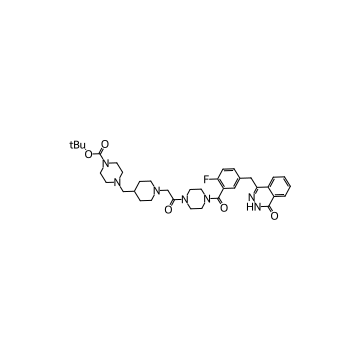 CC(C)(C)OC(=O)N1CCN(CC2CCN(CC(=O)N3CCN(C(=O)c4cc(Cc5n[nH]c(=O)c6ccccc56)ccc4F)CC3)CC2)CC1